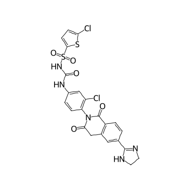 O=C(Nc1ccc(N2C(=O)Cc3cc(C4=NCCN4)ccc3C2=O)c(Cl)c1)NS(=O)(=O)c1ccc(Cl)s1